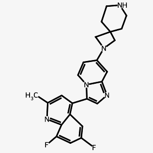 Cc1cc(-c2cnc3cc(N4CC5(CCNCC5)C4)ccn23)c2cc(F)cc(F)c2n1